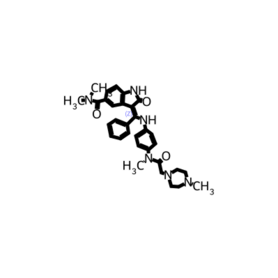 CN1CCN(CC(=O)N(C)c2ccc(N/C(=C3\C(=O)Nc4ccc(C(=O)N(C)C)cc43)c3ccccc3)cc2)CC1